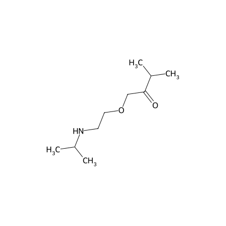 CC(C)NCCOCC(=O)C(C)C